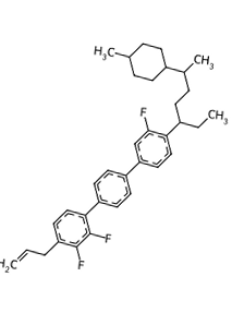 C=CCc1ccc(-c2ccc(-c3ccc(C(CC)CCC(C)C4CCC(C)CC4)c(F)c3)cc2)c(F)c1F